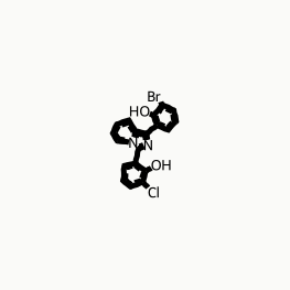 Oc1c(Cl)cccc1-c1nc(-c2cccc(Br)c2O)c2ccccn12